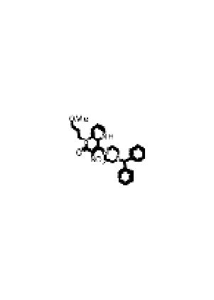 COCCCN1C(=O)C([N+](=O)[O-])=C(N2CCN(C(c3ccccc3)c3ccccc3)CC2)C2NC=CC=C21